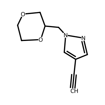 C#Cc1cnn(CC2COCCO2)c1